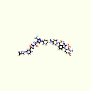 CN(C[C@H]1CC[C@H](n2cc(NC(=O)c3coc(-c4ccnc(NCC5CC5)c4)n3)c(C(F)F)n2)CC1)C1CCN(C(=O)c2cccc3c2n(C)c(=O)n3C2CCC(=O)NC2=O)CC1